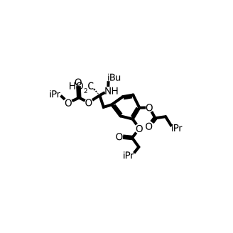 CCC(C)N[C@@](Cc1ccc(OC(=O)CC(C)C)c(OC(=O)CC(C)C)c1)(OC(=O)OC(C)C)C(=O)O